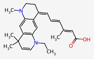 CCN1C=CC(C)(C)c2cc3c(cc21)\C(=C/C=C/C(C)=C/C(=O)O)CCN3C